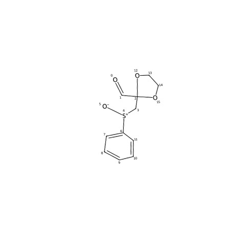 O=CC1(C[S+]([O-])c2ccccc2)OCCO1